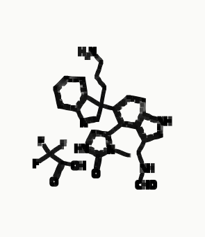 Cn1c(-c2c(C3(CCCN)C=Nc4ccccc43)ccc3[nH]cc(CNC=O)c23)c[nH]c1=O.O=C(O)C(F)(F)F